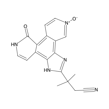 CC(C)(CC#N)c1nc2c3c[n+]([O-])ccc3c3c(=O)[nH]ccc3c2[nH]1